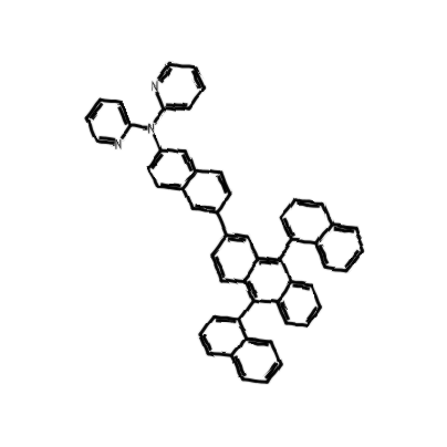 c1ccc(N(c2ccc3cc(-c4ccc5c(-c6cccc7ccccc67)c6ccccc6c(-c6cccc7ccccc67)c5c4)ccc3c2)c2ccccn2)nc1